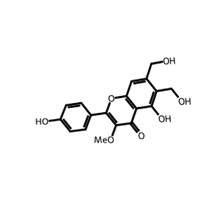 COc1c(-c2ccc(O)cc2)oc2cc(CO)c(CO)c(O)c2c1=O